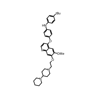 COc1cc2c(Oc3ccc(Nc4ccc(C(C)(C)C)cc4)cc3)ccnc2cc1OCCN1CCC(N2CCCCC2)CC1